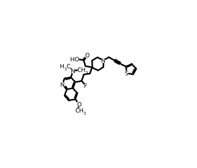 COc1ccc2ncc(N(C)C)c(C(F)CCC3(CC(=O)O)CCN(CC#Cc4cccs4)CC3)c2c1